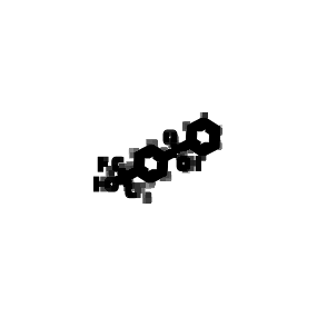 O=P(O)(c1ccccc1)c1ccc(C(O)(C(F)(F)F)C(F)(F)F)cc1